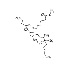 CCCCCC(C)(C)C(O)/C=C/[C@@H]1C(SCCCCCC(=O)OC)=C(OC(=O)CCC)C[C@H]1O